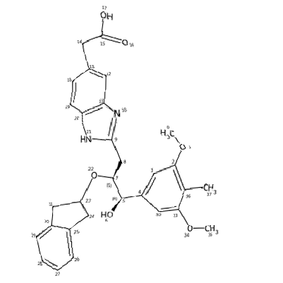 COc1cc([C@@H](O)[C@H](Cc2nc3cc(CC(=O)O)ccc3[nH]2)OC2Cc3ccccc3C2)cc(OC)c1C